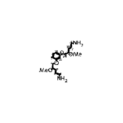 COC(CCCN)COc1cccc(OCC(CCCN)OC)c1